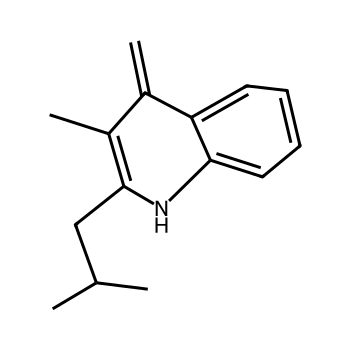 C=C1C(C)=C(CC(C)C)Nc2ccccc21